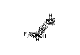 O=C1Nc2ncc(-c3ccc(S(=O)(=O)N4CC[C@@H](Nc5ccc(C(F)(F)F)cn5)[C@@H](O)C4)cc3)cc2C12CCC2